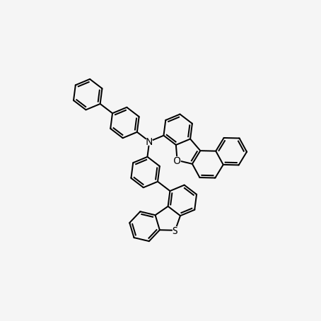 c1ccc(-c2ccc(N(c3cccc(-c4cccc5sc6ccccc6c45)c3)c3cccc4c3oc3ccc5ccccc5c34)cc2)cc1